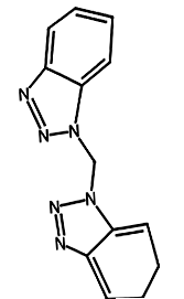 C1=c2nnn(Cn3nnc4ccccc43)c2=CCC1